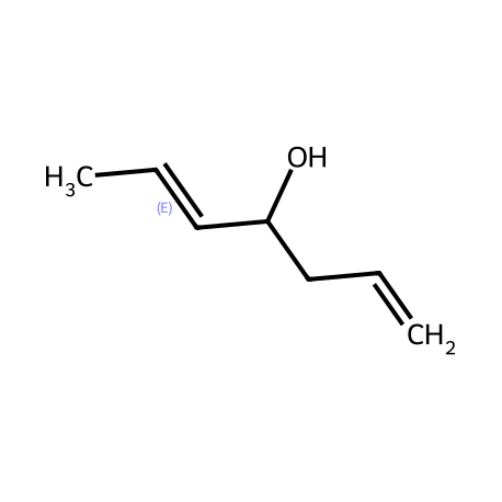 C=CCC(O)/C=C/C